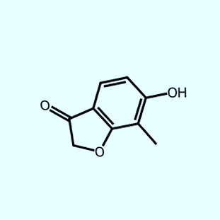 Cc1c(O)ccc2c1OCC2=O